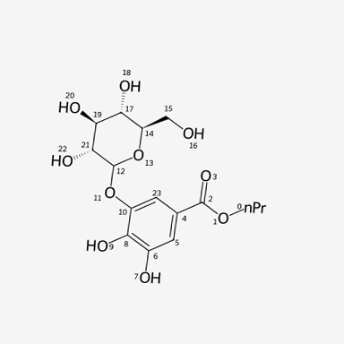 CCCOC(=O)c1cc(O)c(O)c(OC2O[C@H](CO)[C@@H](O)[C@H](O)[C@H]2O)c1